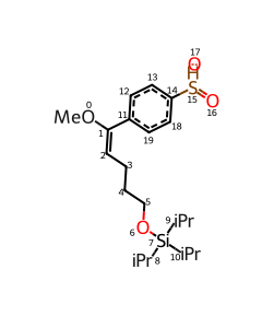 CO/C(=C/CCCO[Si](C(C)C)(C(C)C)C(C)C)c1ccc([SH](=O)=O)cc1